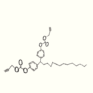 C#CCOC(=O)Oc1ccc(C(CCCCCCCCCCCC)c2ccc(OC(=O)OCC#C)cc2)cc1